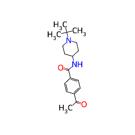 CC(=O)c1ccc(C(=O)NC2CCN(C(C)(C)C)CC2)cc1